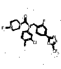 CCN1CCN(C(=O)N(Cc2ccc(-c3nnc(C(F)(F)F)o3)cc2F)c2ccc(C)c(Cl)c2)CC1